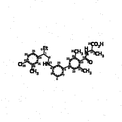 CCC(CNc1cccc(-c2cc(C)c(C(=O)NC(C)C(=O)O)c(C)c2)c1)c1ccc(Cl)c(C)c1